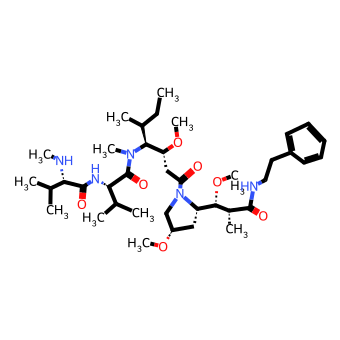 CCC(C)[C@@H]([C@@H](CC(=O)N1C[C@@H](OC)C[C@H]1[C@H](OC)[C@@H](C)C(=O)NCCc1ccccc1)OC)N(C)C(=O)[C@@H](NC(=O)[C@@H](NC)C(C)C)C(C)C